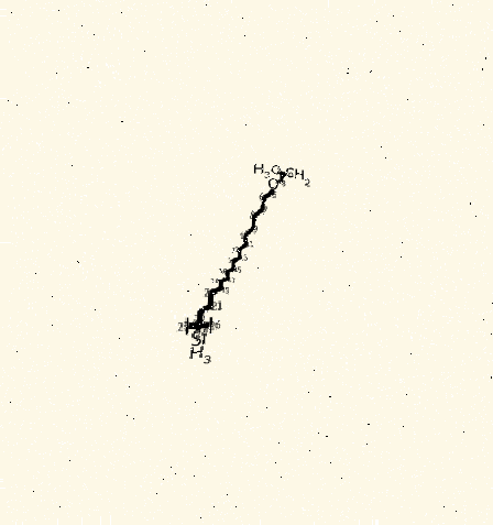 C=C(C)COCCCCCCCCCCCCCCCCCCC([SiH3])(I)I